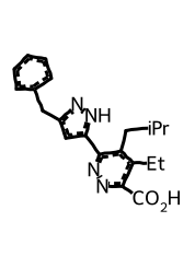 CCc1c(C(=O)O)nnc(-c2cc(Cc3ccccc3)n[nH]2)c1CC(C)C